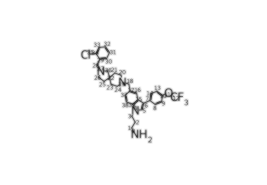 NCCCn1cc(-c2ccc(OC(F)(F)F)cc2)c2cc(CN3CCC4(CC3)CCN(Cc3ccccc3Cl)C4)ccc21